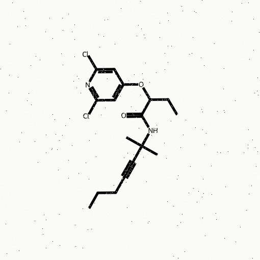 CCCC#CC(C)(C)NC(=O)C(CC)Oc1cc(Cl)nc(Cl)c1